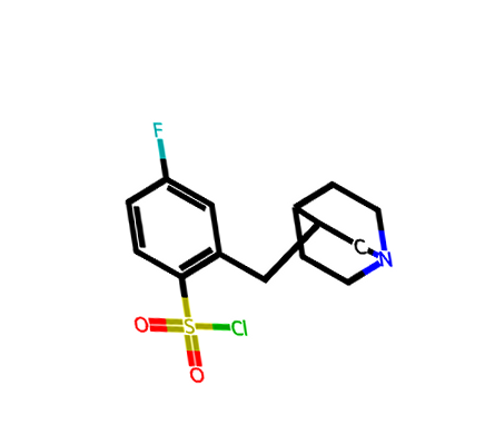 O=S(=O)(Cl)c1ccc(F)cc1CC1CN2CCC1CC2